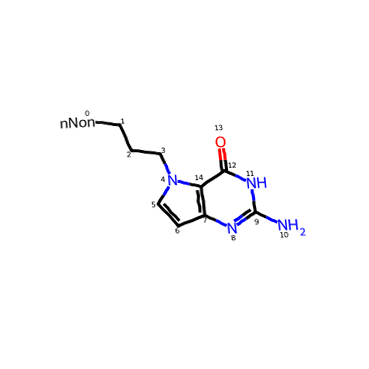 CCCCCCCCCCCCn1ccc2nc(N)[nH]c(=O)c21